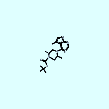 Cc1c[nH]c2ncnc(N3C[C@H](C)N(C(=O)OC(C)(C)C)CC3C)c12